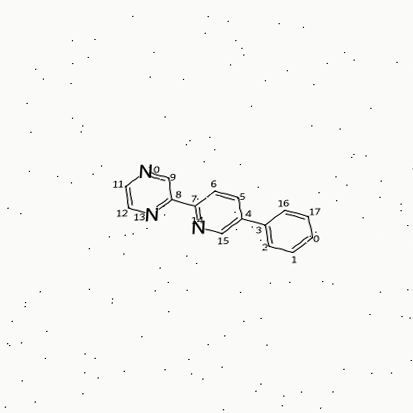 c1ccc(-c2ccc(-c3cnccn3)nc2)cc1